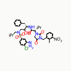 Cc1c(CN2C(=O)CN([C@H](C(=O)N[C@@H](Cc3ccccc3)[C@@H](O)CN(CC(C)C)S(=O)(=O)c3ccc(Cl)c(N)c3)C(C)C)C2=O)cccc1[N+](=O)[O-]